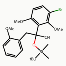 COc1ccccc1CC(C#N)(O[Si](C)(C)C(C)(C)C)c1c(OC)ccc(Br)c1OC